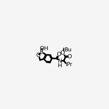 CC(C)C(NC(=O)c1ccc2c(c1)B(O)OC2)C(=O)OC(C)(C)C